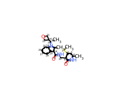 CSc1cc(C)[nH]c(=O)c1CNC(=O)c1c(C)n([C@@H](C)C2COC2)c2ccccc12